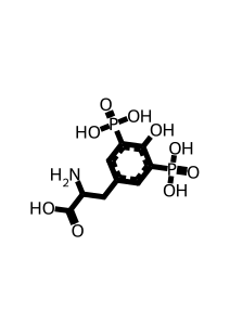 NC(Cc1cc(P(=O)(O)O)c(O)c(P(=O)(O)O)c1)C(=O)O